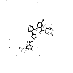 CCN(C(=O)c1cc(F)ccc1Oc1cncnc1N1CC[C@H](CNC(=O)OC(C)(C)C)C1)C(C)C